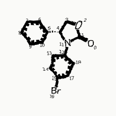 O=C1OC[C@@H](c2ccccc2)N1c1ccc(Br)cc1